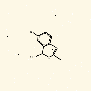 CC1=Nc2ccc(Br)cc2C(C=O)O1